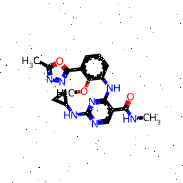 CNC(=O)c1cnc(NC2CC2)nc1Nc1cccc(-c2nnc(C)o2)c1OC